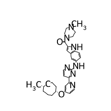 CN1CCN(C(=O)c2cc3cc(Nc4nccc(-c5cc(O[C@H]6CCC[C@@H](C)CCC6)ccn5)n4)ccc3[nH]2)CC1